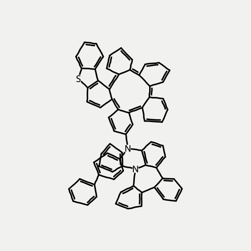 c1ccc(-c2ccc(N(c3ccc4c(c3)c3ccccc3c3ccccc3c3ccccc3c3c4ccc4sc5ccccc5c43)c3cccc4c3N(c3ccccc3)c3ccccc3-c3ccccc3-4)cc2)cc1